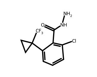 NNC(=O)c1c(Cl)cccc1C1(C(F)(F)F)CC1